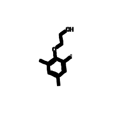 Cc1cc(C)c(OCCO)c(I)c1